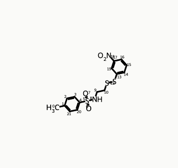 Cc1ccc(S(=O)(=O)NCCSSc2cccc([N+](=O)[O-])c2)cc1